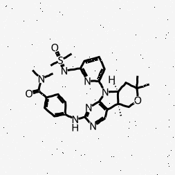 CN(C)C(=O)c1ccc(Nc2ncc3c(n2)N(c2cccc(N=S(C)(C)=O)n2)[C@H]2CC(C)(C)OC[C@@]32C)cc1